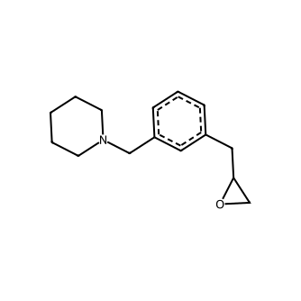 c1cc(CC2CO2)cc(CN2CCCCC2)c1